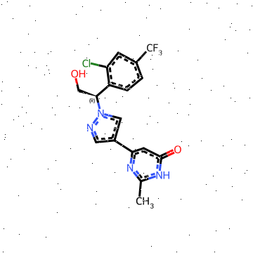 Cc1nc(-c2cnn([C@@H](CO)c3ccc(C(F)(F)F)cc3Cl)c2)cc(=O)[nH]1